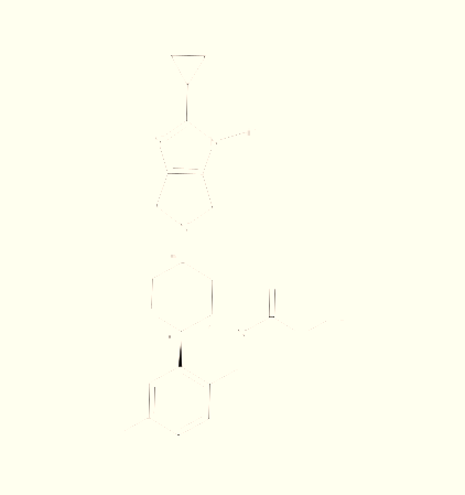 CC(C)n1c(C2CC2)nc2c1CN([C@H]1CO[C@H](c3cc(F)ccc3F)[C@@H](NC(=O)OC(C)(C)C)C1)C2